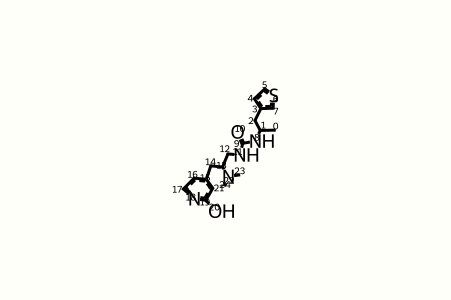 CC(Cc1ccsc1)NC(=O)NCC(Cc1ccnc(O)c1)N(C)C